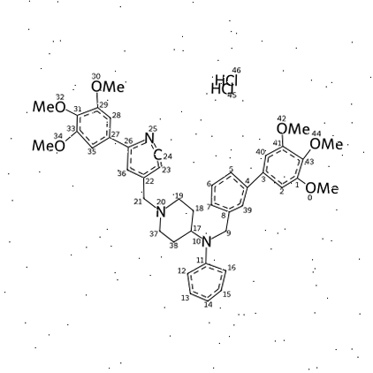 COc1cc(-c2cccc(CN(c3ccccc3)C3CCN(Cc4ccnc(-c5cc(OC)c(OC)c(OC)c5)c4)CC3)c2)cc(OC)c1OC.Cl.Cl